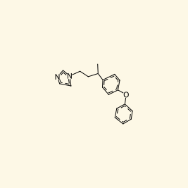 CC(CCn1ccnc1)c1ccc(Oc2ccccc2)cc1